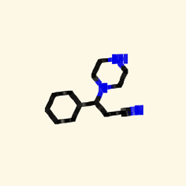 N#CCC(C1CCCCC1)N1CCNCC1